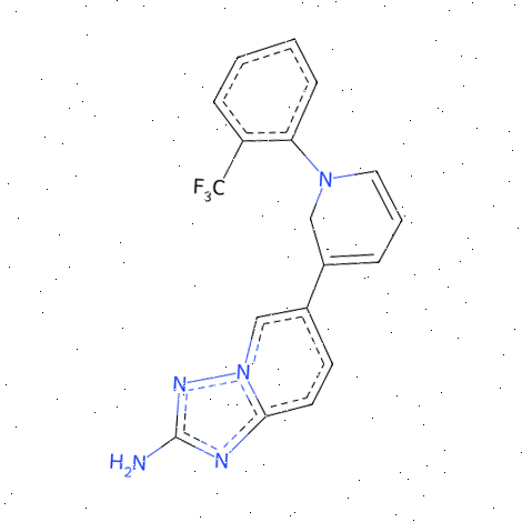 Nc1nc2ccc(C3=CC=CN(c4ccccc4C(F)(F)F)C3)cn2n1